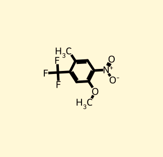 COc1cc(C(F)(F)F)c(C)cc1[N+](=O)[O-]